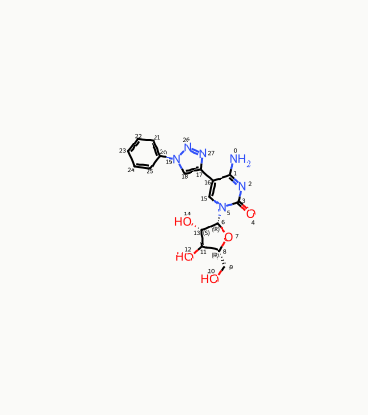 Nc1nc(=O)n([C@@H]2O[C@H](CO)C(O)[C@@H]2O)cc1-c1cn(-c2ccccc2)nn1